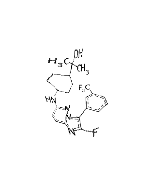 CC(C)(O)[C@H]1CC[C@H](Nc2ccc3nc(F)c(-c4cccc(C(F)(F)F)c4)n3n2)CC1